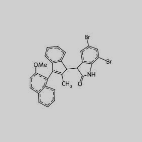 COc1ccc2ccccc2c1C1=C(C)C(C2C(=O)Nc3c(Br)cc(Br)cc32)c2ccccc21